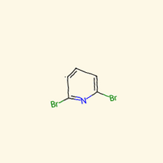 Brc1[c]ccc(Br)n1